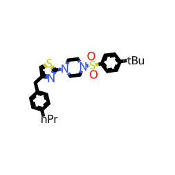 CCCc1ccc(Cc2csc(N3CCN(S(=O)(=O)c4ccc(C(C)(C)C)cc4)CC3)n2)cc1